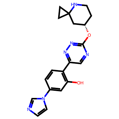 Oc1cc(-n2ccnc2)ccc1-c1cnc(O[C@H]2CCNC3(CC3)C2)nn1